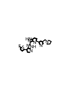 Fc1ccc(-c2ccnc3[nH]c(-c4n[nH]c5ccc(-c6cncc(CN7CCCC7)c6)nc45)nc23)s1